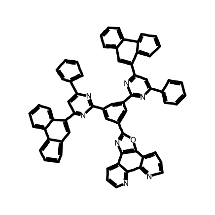 c1ccc(-c2cc(-c3cc4ccccc4c4ccccc34)nc(-c3cc(-c4nc(-c5ccccc5)cc(-c5cc6ccccc6c6ccccc56)n4)cc(-c4nc5c6cccnc6c6ncccc6c5o4)c3)n2)cc1